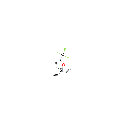 C=C[Si](C=C)(C=C)OCC(F)(F)F